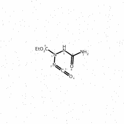 CCOC(=O)N(N=C=O)NC(N)=O